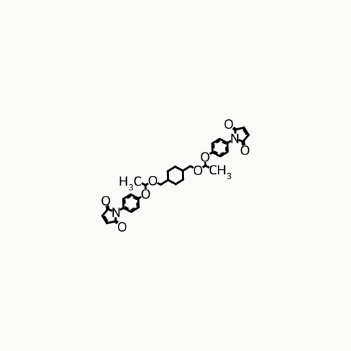 CC(OCC1CCC(COC(C)Oc2ccc(N3C(=O)C=CC3=O)cc2)CC1)Oc1ccc(N2C(=O)C=CC2=O)cc1